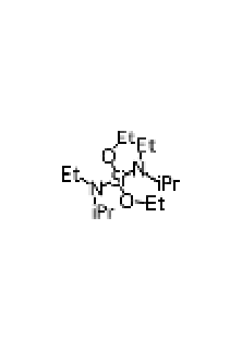 CCO[Si](OCC)(N(CC)C(C)C)N(CC)C(C)C